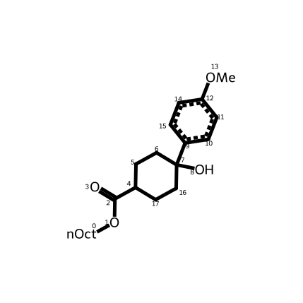 CCCCCCCCOC(=O)C1CCC(O)(c2ccc(OC)cc2)CC1